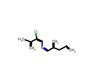 C=CCC(=C)/C=N\C=C(\Cl)C(=C)C